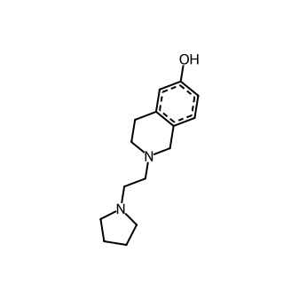 Oc1ccc2c(c1)CCN(CCN1CCCC1)C2